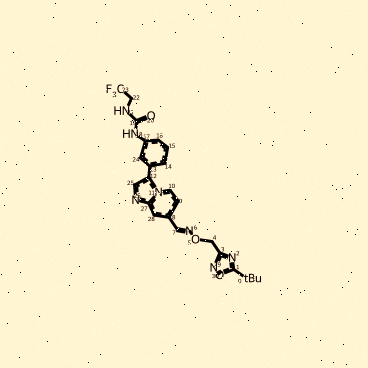 CC(C)(C)c1nc(CO/N=C/c2ccn3c(-c4cccc(NC(=O)NCC(F)(F)F)c4)cnc3c2)no1